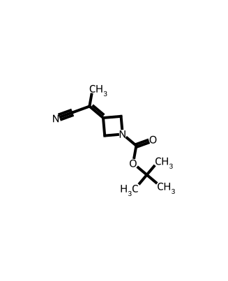 CC(C#N)=C1CN(C(=O)OC(C)(C)C)C1